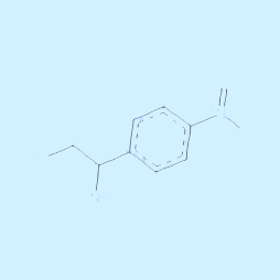 CCC(N)c1ccc([N+](=O)[O-])cc1